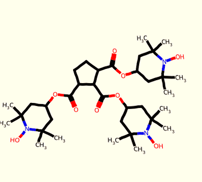 CC1(C)CC(OC(=O)C2CCC(C(=O)OC3CC(C)(C)N(O)C(C)(C)C3)C2C(=O)OC2CC(C)(C)N(O)C(C)(C)C2)CC(C)(C)N1O